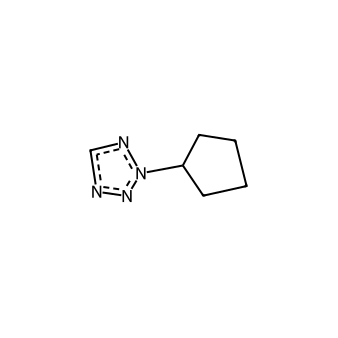 c1nnn(C2CCCC2)n1